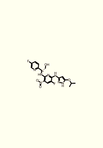 CC(C)Oc1cc(Nc2nc(N[C@@H](CO)c3ccc(F)cn3)c([N+](=O)[O-])cc2F)n[nH]1